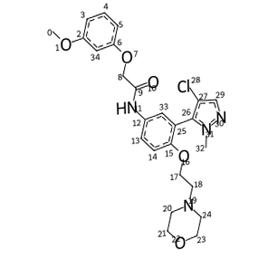 COc1cccc(OCC(=O)Nc2ccc(OCCN3CCOCC3)c(-c3c(Cl)cnn3C)c2)c1